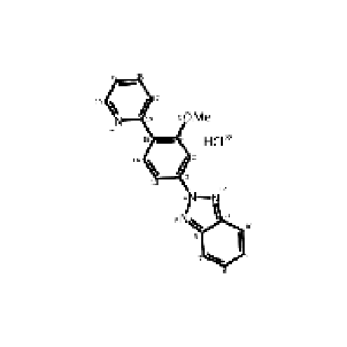 COc1cc(-n2nc3ccccc3n2)ccc1-c1ccccn1.Cl